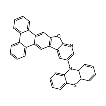 C1=CC2Sc3ccccc3N(c3cnc4oc5cc6c7ccccc7c7ccccc7c6cc5c4c3)C2C=C1